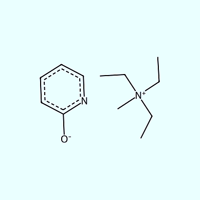 CC[N+](C)(CC)CC.[O-]c1ccccn1